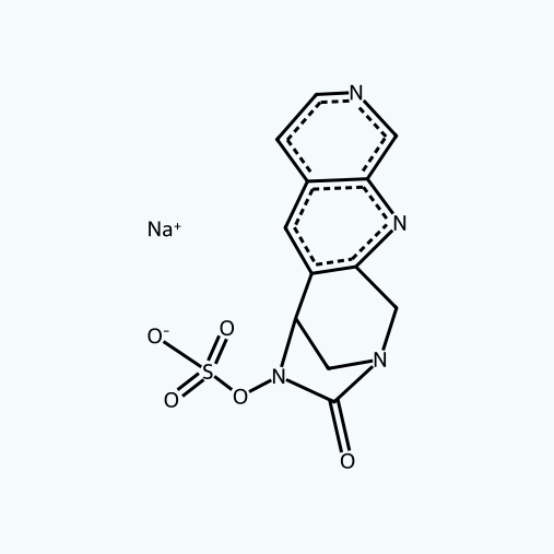 O=C1N2Cc3nc4cnccc4cc3C(C2)N1OS(=O)(=O)[O-].[Na+]